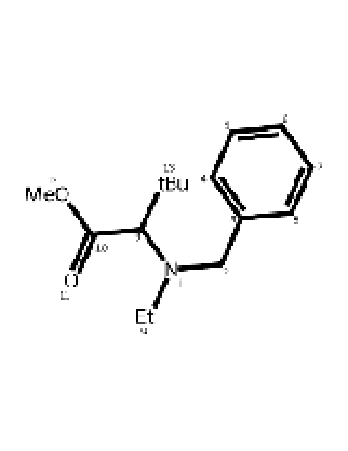 CCN(Cc1ccccc1)C(C(=O)OC)C(C)(C)C